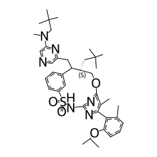 Cc1cccc(OC(C)C)c1-c1nc2nc(c1C)OC[C@@H](CC(C)(C)C)C(Cc1cncc(N(C)CC(C)(C)C)n1)c1cccc(c1)S(=O)(=O)N2